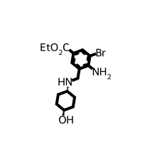 CCOC(=O)c1cc(Br)c(N)c(CN[C@H]2CC[C@H](O)CC2)c1